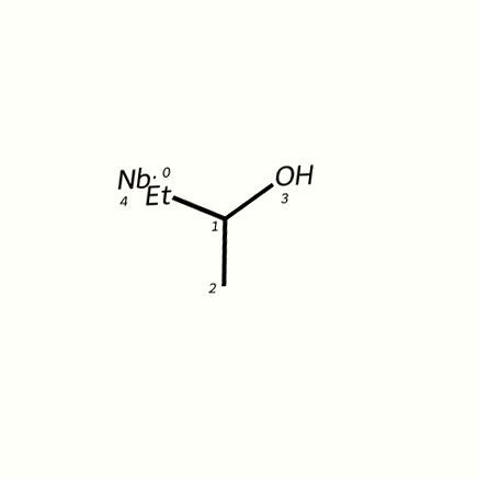 CCC(C)O.[Nb]